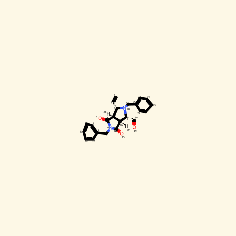 C=C[C@H]1[C@@H]2C(=O)N(Cc3ccccc3)C(=O)[C@@H]2[C@@H](C=O)N1Cc1ccccc1